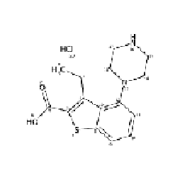 CCc1c(C(=O)O)sc2cccc(N3CCNCC3)c12.Cl